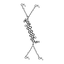 CCCCCCCCCCCCC(C#Cc1cc2nc3c4ccc5c6ccc7c8ccc9c(=O)n%10c%11cc([N+](=O)[O-])c(C#CN(CCCCCCCCCCCC)CCCCCCCCCCCC)cc%11nc%10c%10ccc(c%11ccc(c%12ccc(c(=O)n3c2cc1N=N)c4c5%12)c6c7%11)c8c9%10)CCCCCCCCCCCC